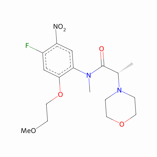 COCCOc1cc(F)c([N+](=O)[O-])cc1N(C)C(=O)[C@H](C)N1CCOCC1